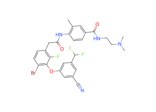 Cc1cc(C(=O)NCCN(C)C)ccc1NC(=O)Cc1ccc(Br)c(Oc2cc(C#N)cc(C(F)F)c2)c1F